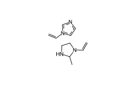 C=CN1CCNC1C.C=Cn1ccnc1